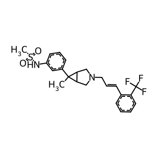 CC1(c2cccc(NS(C)(=O)=O)c2)C2CN(CC=Cc3ccccc3C(F)(F)F)CC21